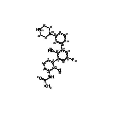 CC(=O)Nc1cccc(-c2cc(F)cc(-c3cccc(N4CCNCC4)c3)c2O)c1Cl